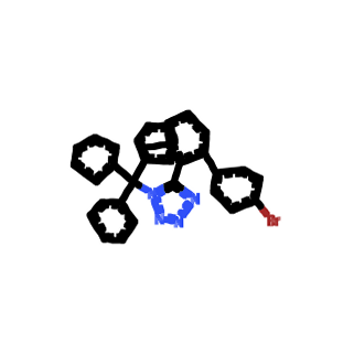 Cc1cccc(-c2ccc(Br)cc2)c1-c1nnnn1C(c1ccccc1)(c1ccccc1)c1ccccc1